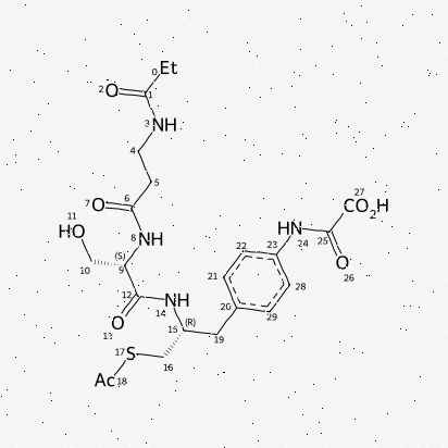 CCC(=O)NCCC(=O)N[C@@H](CO)C(=O)N[C@@H](CSC(C)=O)Cc1ccc(NC(=O)C(=O)O)cc1